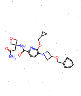 NC(=O)CC1(NC(=O)c2ccc(N3CC(OCc4ccccc4)C3)c(OCC3CC3)n2)COC1